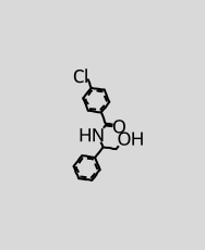 O=C(NC(CO)c1ccccc1)c1ccc(Cl)cc1